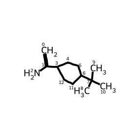 C=C(N)C1CCC(C(C)(C)C)CC1